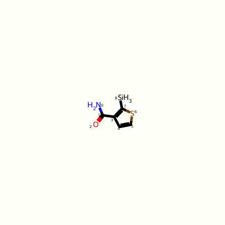 NC(=O)c1ccsc1[SiH3]